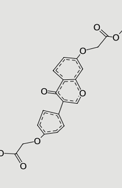 COC(=O)COc1ccc(-c2coc3cc(OCC(=O)OC)ccc3c2=O)cc1